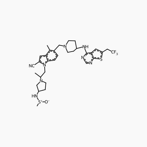 Cc1c(CN2CCC(Nc3ncnc4sc(CC(F)(F)F)cc34)CC2)ccc2c1cc(C#N)n2CC(C)N1CCC(N[S+](C)[O-])C1